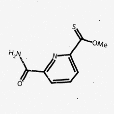 COC(=S)c1cccc(C(N)=O)n1